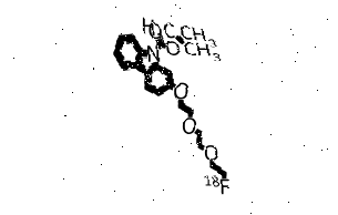 CC(C)(C)OC(=O)n1c2ccccc2c2ccc(OCCOCCOCC[18F])cc21